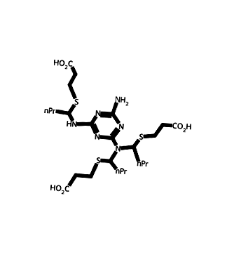 CCCC(Nc1nc(N)nc(N(C(CCC)SCCC(=O)O)C(CCC)SCCC(=O)O)n1)SCCC(=O)O